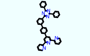 c1ccc(-c2nc(-c3ccccc3)nc(-c3cccc(-c4ccc(-c5cc(-c6ccccn6)nc(-c6ccccn6)c5)cc4)c3)n2)cc1